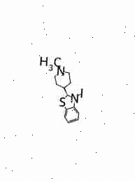 CN1CCC([C@@H]2Sc3ccccc3N2I)CC1